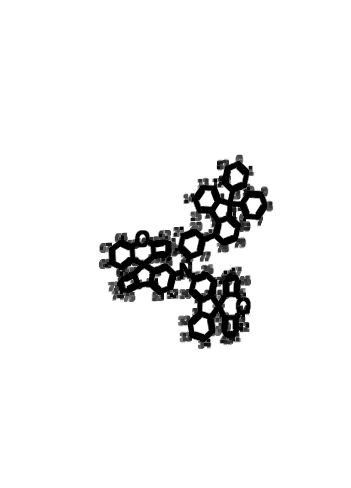 c1ccc(C2(c3ccccc3)c3ccccc3-c3c(-c4cccc(N(c5ccc6c(c5)-c5ccccc5C65c6ccccc6Oc6ccccc65)c5ccc6c(c5)C5(c7ccccc7Oc7ccccc75)c5ccccc5-6)c4)cccc32)cc1